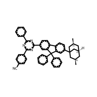 C[C@@H]1C[C@@H]2C[C@H](C)CC(c3ccc4c(c3)C(c3ccccc3)(c3ccccc3)c3cc(-c5nc(-c6ccccc6)nc(-c6ccc(C#N)cc6)n5)ccc3-4)(C1)C2